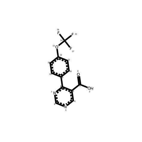 O=C(O)c1cncnc1-c1ccc(OC(F)(F)F)cc1